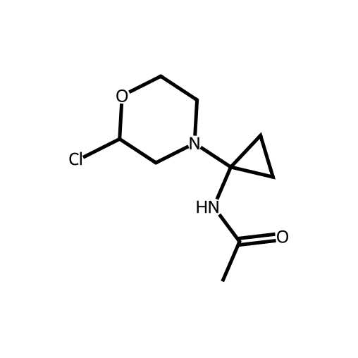 CC(=O)NC1(N2CCOC(Cl)C2)CC1